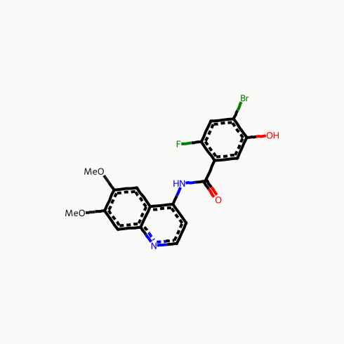 COc1cc2nccc(NC(=O)c3cc(O)c(Br)cc3F)c2cc1OC